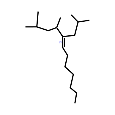 CCCCCC/C=C(\CC(C)C)C(C)CC(C)C